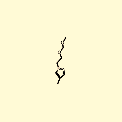 COCOCCn1cc(C)cn1